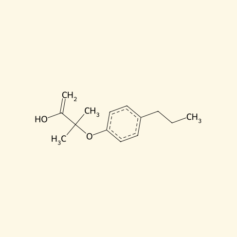 C=C(O)C(C)(C)Oc1ccc(CCC)cc1